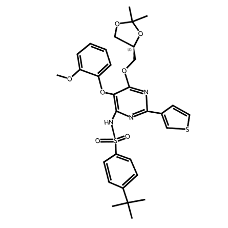 COc1ccccc1Oc1c(NS(=O)(=O)c2ccc(C(C)(C)C)cc2)nc(-c2ccsc2)nc1OC[C@H]1COC(C)(C)O1